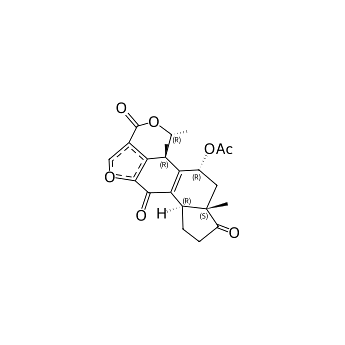 CC(=O)O[C@@H]1C[C@]2(C)C(=O)CC[C@H]2C2=C1[C@]1(C)c3c(coc3C2=O)C(=O)O[C@@H]1C